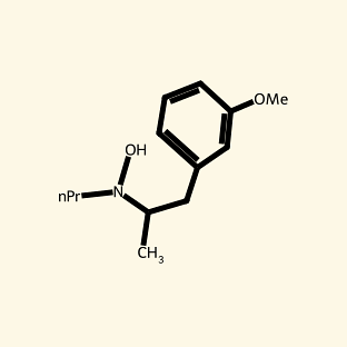 CCCN(O)C(C)Cc1cccc(OC)c1